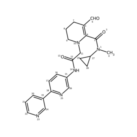 CN(C(=O)C1=C(C=O)CCCN1CC(=O)Nc1ccc(-c2cccnc2)nc1)C1CC1